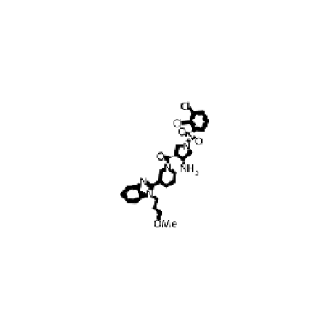 COCCCn1c(C2CCCN(C(=O)[C@@H]3CN(S(=O)(=O)c4cccc(Cl)c4Cl)C[C@H]3N)C2)nc2ccccc21